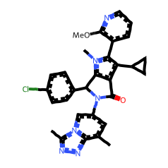 COc1ncccc1-c1c(C2CC2)c2c(n1C)C(c1ccc(Cl)cc1)N(c1cc(C)c3nnc(C)n3c1)C2=O